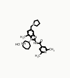 Cc1cc(C(=O)Nc2nc3cc(CN4CCCC4)cc(C)c3n2[C@@H]2CCCCNC2)cc(C)n1.Cl